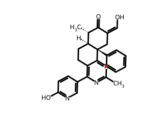 Cc1nc(-c2ccc(O)nc2)c2c(n1)[C@@]1(c3ccccc3)CC(=CO)C(=O)[C@@H](C)[C@@H]1CC2